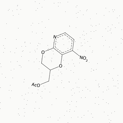 CC(=O)OCC1COc2nccc([N+](=O)[O-])c2O1